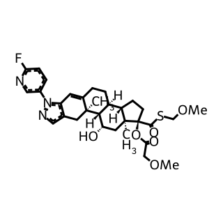 COCSC(=O)[C@@]1(OC(=O)COC)CC[C@H]2[C@@H]3CCC4=Cc5c(cnn5-c5ccc(F)nc5)C[C@]4(C)[C@H]3[C@@H](O)C[C@@]21C